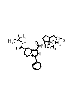 CCC1CCC(NC(=O)c2nc(-c3ccccc3)n3c2CN(C(=O)NC(C)C)CC3)C1(C)C